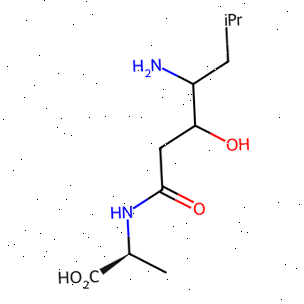 CC(C)CC(N)C(O)CC(=O)N[C@@H](C)C(=O)O